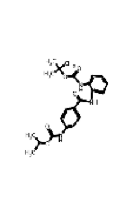 CC(C)OC(=O)Nc1ccc(C(=O)Nc2ccccc2NC(=O)OC(C)(C)C)cc1